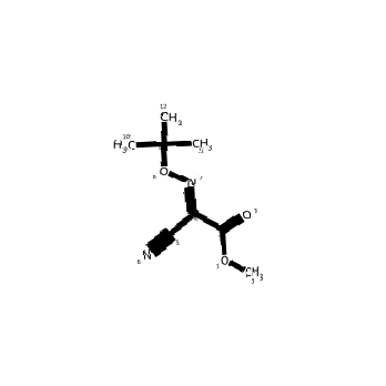 COC(=O)/C(C#N)=N/OC(C)(C)C